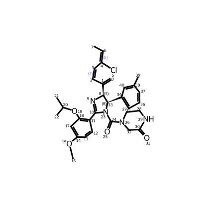 C=C(/C=C\C(Cl)=C/C)[C@@H]1N=C(c2ccc(OC)cc2OC(C)C)N(C(=O)N2CCNC(=O)C2)[C@@H]1c1cccc(C)c1